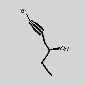 CC[C@H](O)C#CBr